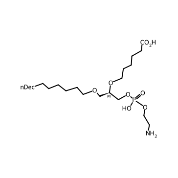 CCCCCCCCCCCCCCCCOC[C@H](COP(=O)(O)OCCN)OCCCCCC(=O)O